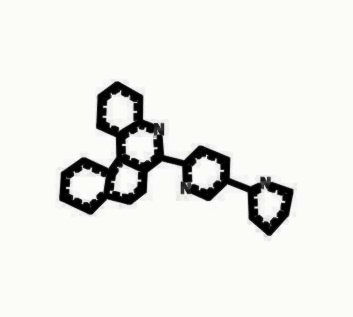 c1ccc(-c2ccc(-c3nc4ccccc4c4c3ccc3ccccc34)nc2)nc1